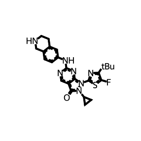 CC(C)(C)c1nc(-n2c3nc(Nc4ccc5c(c4)CCNC5)ncc3c(=O)n2C2CC2)sc1F